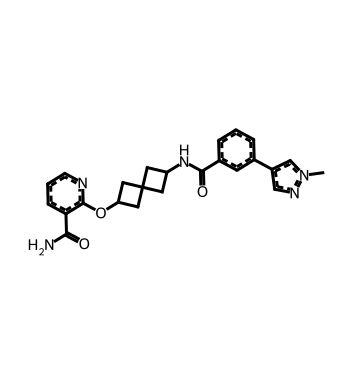 Cn1cc(-c2cccc(C(=O)NC3CC4(C3)CC(Oc3ncccc3C(N)=O)C4)c2)cn1